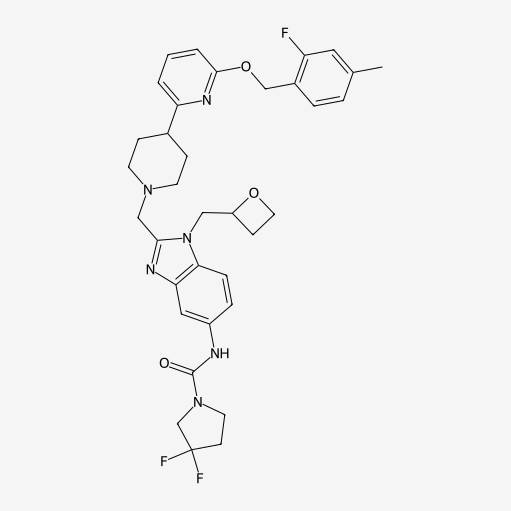 Cc1ccc(COc2cccc(C3CCN(Cc4nc5cc(NC(=O)N6CCC(F)(F)C6)ccc5n4CC4CCO4)CC3)n2)c(F)c1